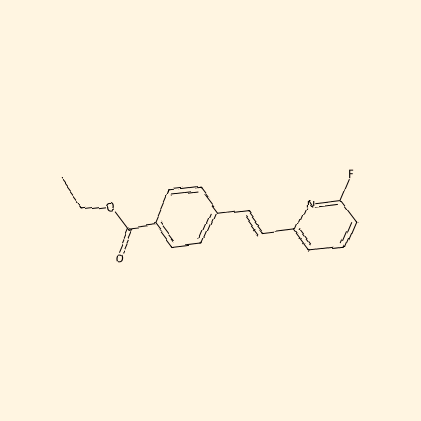 CCOC(=O)c1ccc(C=Cc2cccc(F)n2)cc1